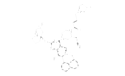 N#CC[C@H]1CN(c2nc(OC[C@@]34CCCN3C[C@H](F)C4)nc3c(F)c(-c4cccc5cccc(Cl)c45)ncc23)CCN1C(=O)/C=C/CN1CC[C@H](F)C1